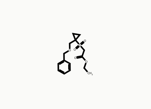 CCOC(=O)CS(=O)(=O)C1(COCc2ccccc2)CC1